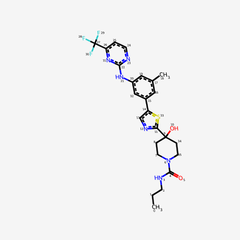 CCCNC(=O)N1CCC(O)(c2ncc(-c3cc(C)cc(Nc4nccc(C(F)(F)F)n4)c3)s2)CC1